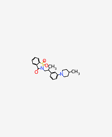 CC1CCN(c2cccc(C(C)CN3C(=O)c4ccccc4S3(=O)=O)c2)CC1